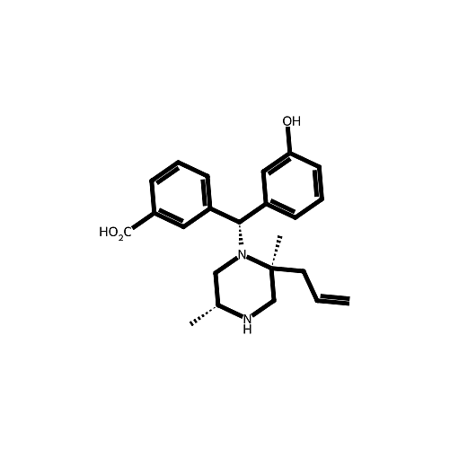 C=CC[C@@]1(C)CN[C@H](C)CN1[C@@H](c1cccc(O)c1)c1cccc(C(=O)O)c1